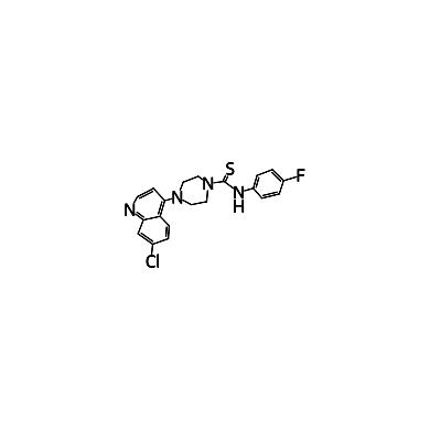 Fc1ccc(NC(=S)N2CCN(c3ccnc4cc(Cl)ccc34)CC2)cc1